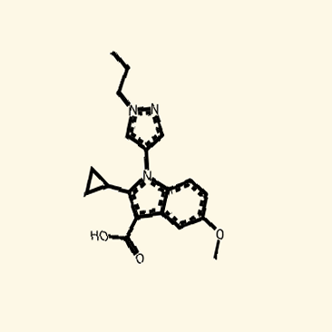 CCCn1cc(-n2c(C3CC3)c(C(=O)O)c3cc(OC)ccc32)cn1